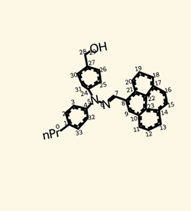 CCCc1ccc(N(N=Cc2cc3cccc4ccc5cccc2c5c43)c2ccc(CO)cc2)cc1